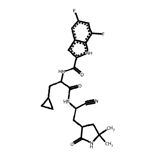 CC1(C)CC(CC(C#N)NC(=O)C(CC2CC2)NC(=O)c2cc3cc(F)cc(F)c3[nH]2)C(=O)N1